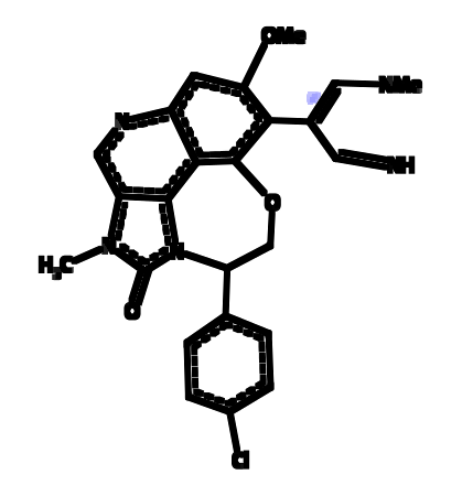 CN/C=C(\C=N)c1c(OC)cc2ncc3c4c2c1OCC(c1ccc(Cl)cc1)n4c(=O)n3C